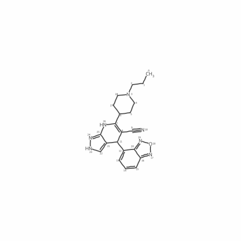 CCCN1CCC(C2=C(C#N)C(c3cccc4nonc34)c3c[nH]nc3N2)CC1